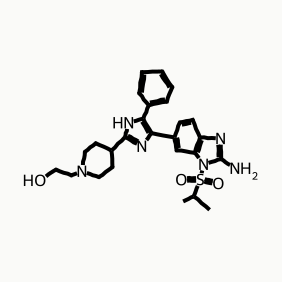 CC(C)S(=O)(=O)n1c(N)nc2ccc(-c3nc(C4CCN(CCO)CC4)[nH]c3-c3ccccc3)cc21